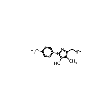 Cc1ccc(-n2nc(CC(C)C)c(C)c2O)cc1